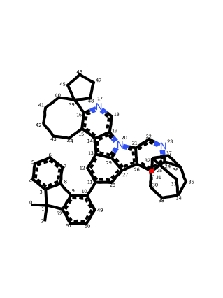 CC1(C)c2ccccc2-c2c(-c3cc4c5c6c(ncc5n5c7cnc8c(c7c(c3)c45)C3CC4CC(CC8C4)C3)C3(CCCCC6)CCCC3)cccc21